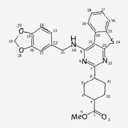 COC(=O)C1CCC(c2nc(NCc3ccc4c(c3)OCO4)c3c(n2)sc2ccccc23)CC1